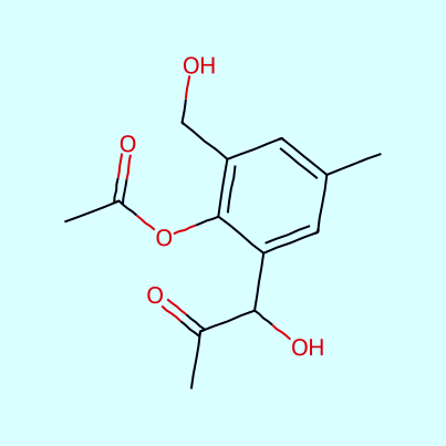 CC(=O)Oc1c(CO)cc(C)cc1C(O)C(C)=O